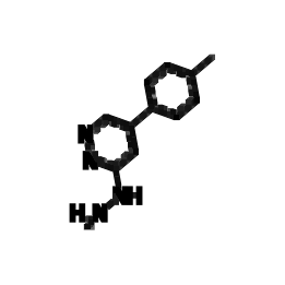 Cc1ccc(-c2cnnc(NN)c2)cc1